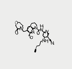 C#CCCCNc1cc(NC(=O)N2CCCc3cc(CN4CCOCC4=O)c(C=O)nc32)ncc1C#N